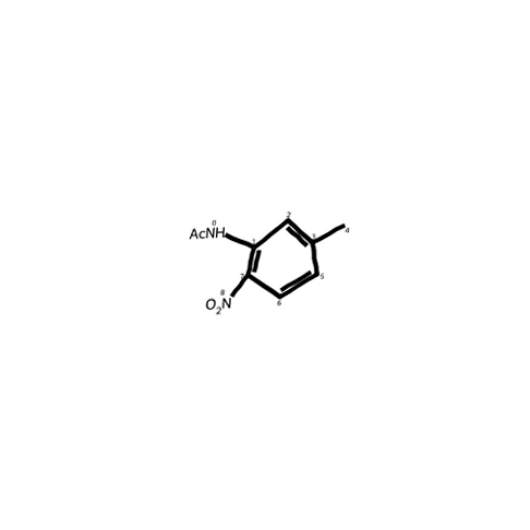 CC(=O)Nc1cc(C)ccc1[N+](=O)[O-]